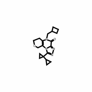 O=c1c2nnc(C3(C4CC4)CC3)n2c2c(n1CC1CCC1)CCOC2